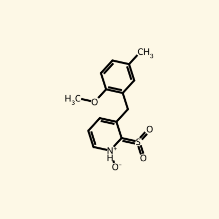 COc1ccc(C)cc1CC1=CC=C[NH+]([O-])C1=S(=O)=O